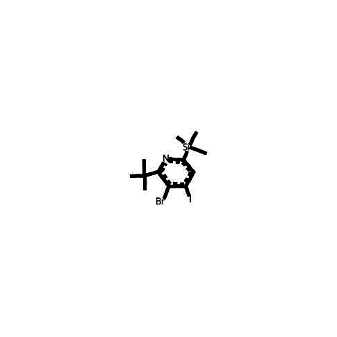 CC(C)(C)c1nc([Si](C)(C)C)cc(I)c1Br